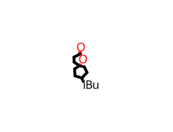 CCC(C)C1CCC2(CCC(=O)O2)CC1